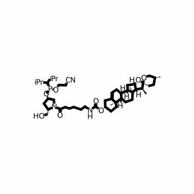 CC(C)C(C(C)C)P(OCCC#N)O[C@@H]1C[C@@H](CO)N(C(=O)CCCCCNC(=O)O[C@H]2CC[C@@]3(C)C(=CC[C@H]4[C@@H]5C[C@@H]6O[C@]7(CC[C@@H](C)CO7)[C@@H](C)[C@@H]6[C@@]5(C)CC[C@@H]43)C2)C1